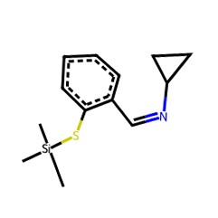 C[Si](C)(C)Sc1ccccc1/C=N\C1CC1